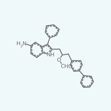 Nc1ccc2[nH]c(CC(Cc3ccc(-c4ccccc4)cc3)OC=O)c(-c3ccccc3)c2c1